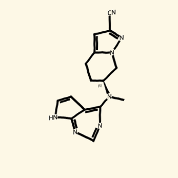 CN(c1ncnc2[nH]ccc12)[C@H]1CCc2cc(C#N)nn2C1